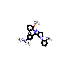 COc1cccc(C)c1-n1nc2c(c1-c1ccc(N(C)C)cc1)CN(c1ccccc1C)CC2